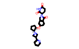 O=C1CCC(N2Cc3cc(O[C@@H]4CCC[C@@H]4N4CC(c5ccccn5)C4)ccc3C2=O)C(=O)N1